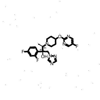 C[C@@H](N1CCC(Oc2ncc(F)cn2)CC1)[C@](O)(Cn1cncn1)c1ccc(F)cc1F